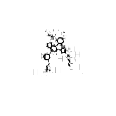 C=CC(=O)NC(C)c1cc(-c2nc(-c3cncc(CCN(C)C)c3)c3ccsc3c2-c2c(F)cc(F)cc2OCCOC)n[nH]1